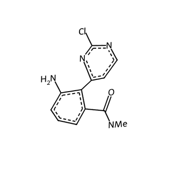 CNC(=O)c1cccc(N)c1-c1ccnc(Cl)n1